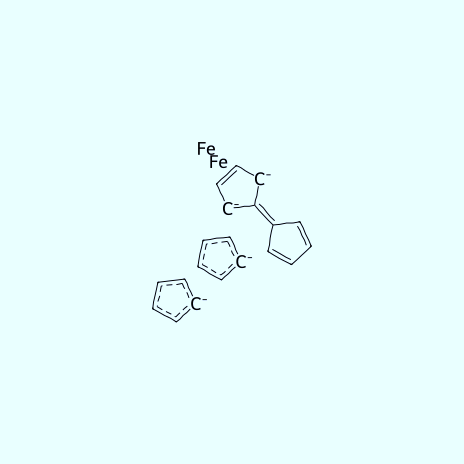 C1=CC(=C2[CH-]C=C[CH-]2)C=C1.[Fe].[Fe].c1cc[cH-]c1.c1cc[cH-]c1